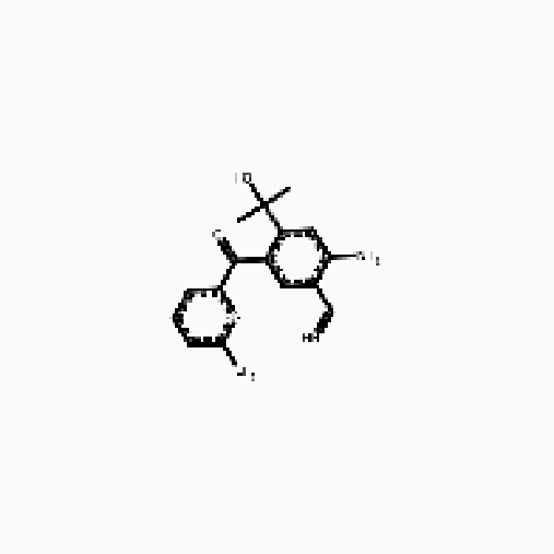 CC(C)(O)c1cc(N)c(C=N)cc1C(=O)c1cccc(C(F)(F)F)n1